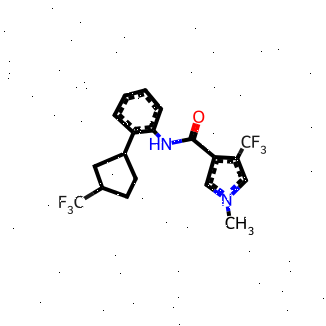 Cn1cc(C(=O)Nc2ccccc2C2CCC(C(F)(F)F)C2)c(C(F)(F)F)c1